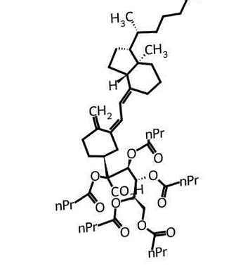 C=C1CC[C@H](C(OC(=O)CCC)(C(=O)O)[C@@H](OC(=O)CCC)[C@H](OC(=O)CCC)[C@@H](COC(=O)CCC)OC(=O)CCC)C/C1=C/C=C1\CCC[C@]2(C)[C@@H]([C@H](C)CCCC(C)C)CC[C@@H]12